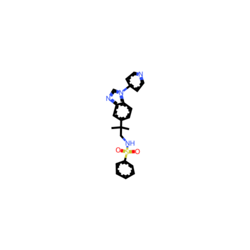 CC(C)(CNS(=O)(=O)c1ccccc1)c1ccc2c(c1)ncn2-c1ccncc1